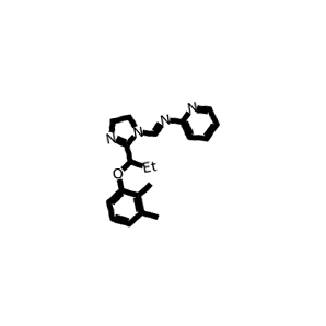 CCC(Oc1cccc(C)c1C)C1=NCCN1C=Nc1ccccn1